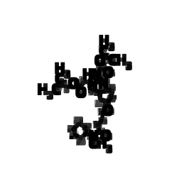 CC(C)COC(=O)CN1Cc2cc(OCCCC(=O)N(C)C3CCCCC3)ccc2N=C1NC(=O)OC(C)C